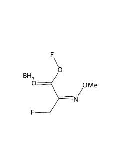 B.CON=C(CF)C(=O)OF